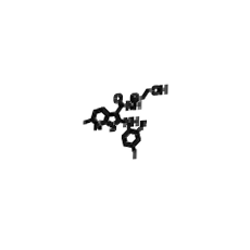 Cc1ccc2c(C(=O)NOCCO)c(Nc3ccc(I)cc3F)sc2n1